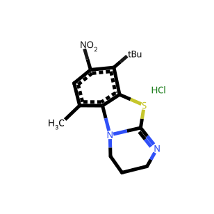 Cc1cc([N+](=O)[O-])c(C(C)(C)C)c2c1N1CCCN=C1S2.Cl